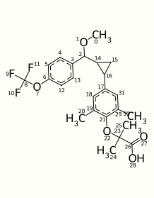 COC(c1ccc(OC(F)(F)F)cc1)C1CC1c1cc(C)c(OC(C)(C)C(=O)O)c(C)c1